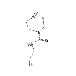 [O]CCNC(=O)N1CCNCC1